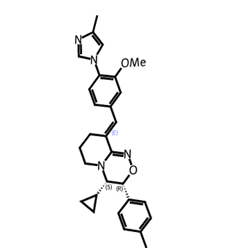 COc1cc(/C=C2\CCCN3C2=NO[C@H](c2ccc(C)cc2)[C@@H]3C2CC2)ccc1-n1cnc(C)c1